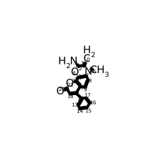 C=C(C(N)=O)N(C)c1ccc2c(-c3ccccc3)cc(=O)oc2c1